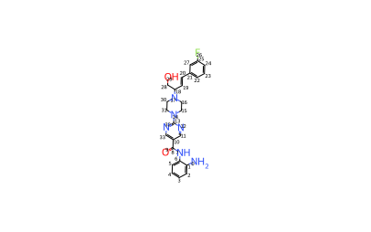 Nc1ccccc1NC(=O)c1cnc(N2CCN(C(/C=C/c3cccc(F)c3)CO)CC2)nc1